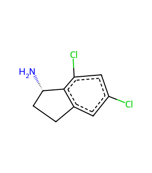 N[C@H]1CCc2cc(Cl)cc(Cl)c21